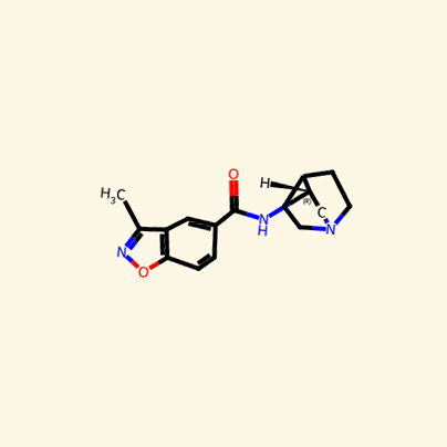 Cc1noc2ccc(C(=O)N[C@H]3CN4CCC3CC4)cc12